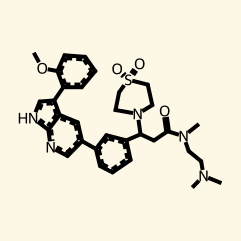 COc1ccccc1-c1c[nH]c2ncc(-c3cccc(C(CC(=O)N(C)CCN(C)C)N4CCS(=O)(=O)CC4)c3)cc12